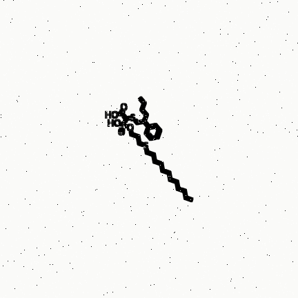 CCCCCCCCCCCCSCCCOP(=O)(O)C(SCC(CCCC)c1ccccc1)C(=O)O